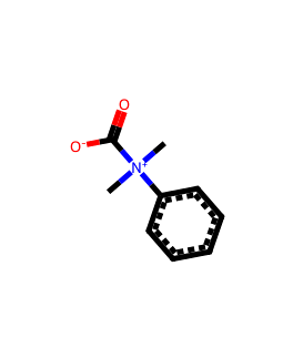 C[N+](C)(C(=O)[O-])c1ccccc1